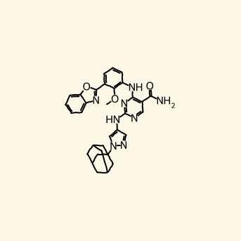 COc1c(Nc2nc(Nc3cnn(C45CC6CC(CC(C6)C4)C5)c3)ncc2C(N)=O)cccc1-c1nc2ccccc2o1